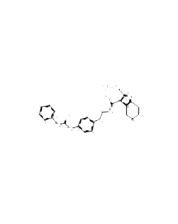 CNc1[nH]c2c(c1C(=N)NCCc1ccc(NC(=O)Nc3ccccc3)cc1)CCCC2